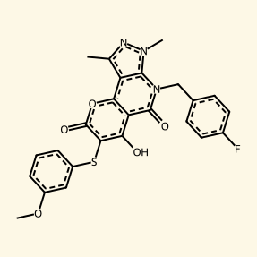 COc1cccc(Sc2c(O)c3c(=O)n(Cc4ccc(F)cc4)c4c(c(C)nn4C)c3oc2=O)c1